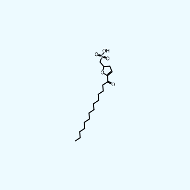 CCCCCCCCCCCCCC(=O)C1=CCC(CS(=O)(=O)O)O1